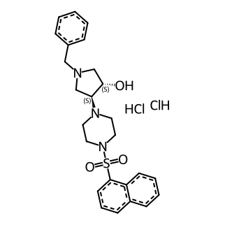 Cl.Cl.O=S(=O)(c1cccc2ccccc12)N1CCN([C@H]2CN(Cc3ccccc3)C[C@@H]2O)CC1